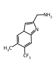 CC1=CC2C=C(CN)N=C2C=C1C(F)(F)F